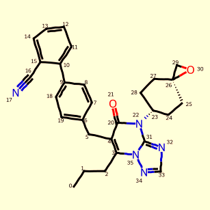 CCCc1c(Cc2ccc(-c3ccccc3C#N)cc2)c(=O)n([C@H]2CC[C@]3(CC2)CO3)c2ncnn12